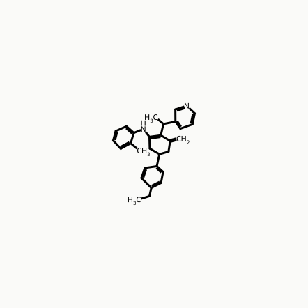 C=C1CC(c2ccc(CC)cc2)CC(Nc2ccccc2C)=C1C(C)c1cccnc1